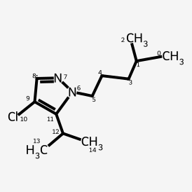 CC(C)CCCn1n[c]c(Cl)c1C(C)C